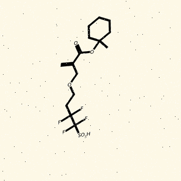 C=C(COCCC(F)(F)C(F)(F)S(=O)(=O)O)C(=O)OC1(C)CCCCC1